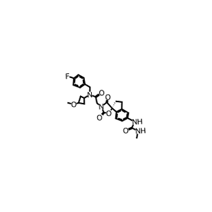 CNC(=O)Nc1ccc2c(c1)CC[C@@]21OC(=O)N(CC(=O)N(Cc2ccc(F)cc2)C2CC(OC)C2)C1=O